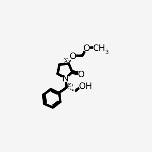 COCO[C@H]1CCN([C@H](CO)c2ccccc2)C1=O